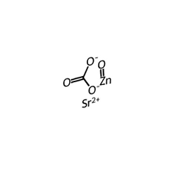 O=C([O-])[O-].[O]=[Zn].[Sr+2]